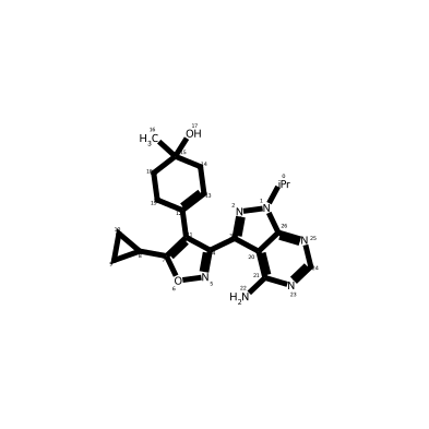 CC(C)n1nc(-c2noc(C3CC3)c2C2=CCC(C)(O)CC2)c2c(N)ncnc21